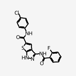 O=C(Nc1ccc(Cl)cc1)c1cc2c(NC(=O)c3ccccc3F)n[nH]c2s1